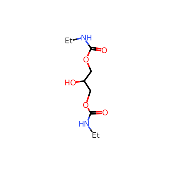 CCNC(=O)OCC(O)COC(=O)NCC